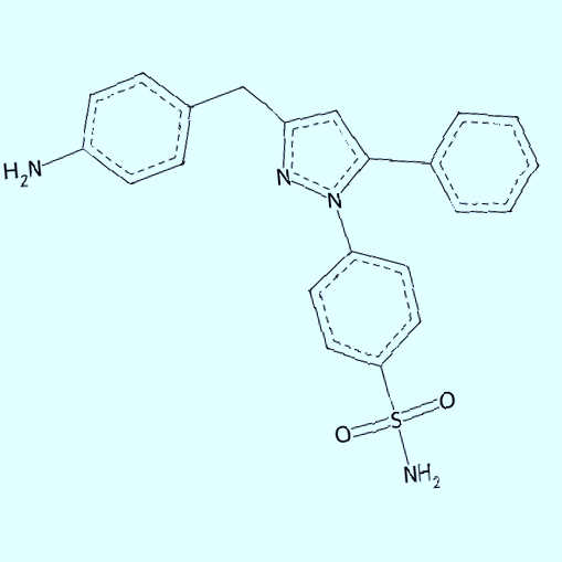 Nc1ccc(Cc2cc(-c3ccccc3)n(-c3ccc(S(N)(=O)=O)cc3)n2)cc1